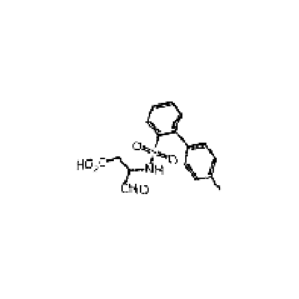 Cc1ccc(-c2ccccc2S(=O)(=O)NC(C=O)CC(=O)O)cc1